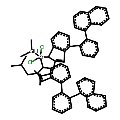 CC(C)CC1=Cc2c(-c3ccccc3-c3cccc4ccccc34)cccc2[CH]1[Zr]([Cl])([Cl])([CH]1C(CC(C)C)=Cc2c(-c3ccccc3-c3cccc4ccccc34)cccc21)[SiH](C)C